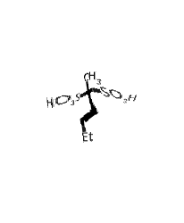 CCC=CC(C)(S(=O)(=O)O)S(=O)(=O)O